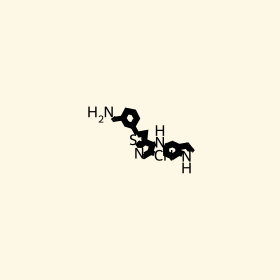 N#Cc1cnc2sc(-c3cccc(CN)c3)cc2c1Nc1ccc2[nH]ccc2c1